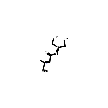 CCCC/C(C)=C/C(=O)N=S(CC(C)C)CC(C)C